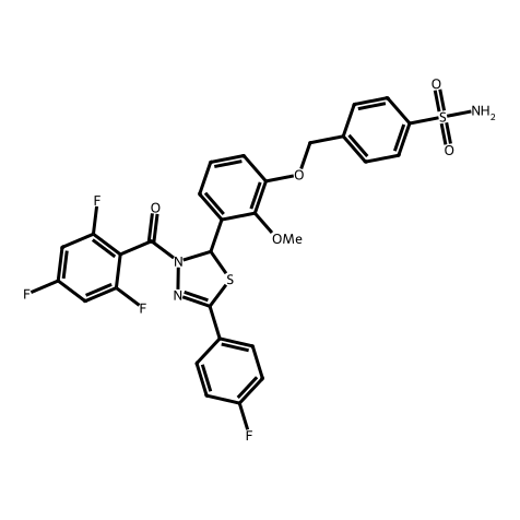 COc1c(OCc2ccc(S(N)(=O)=O)cc2)cccc1C1SC(c2ccc(F)cc2)=NN1C(=O)c1c(F)cc(F)cc1F